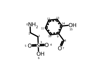 NCCS(=O)(=O)O.O=Cc1ccccc1O